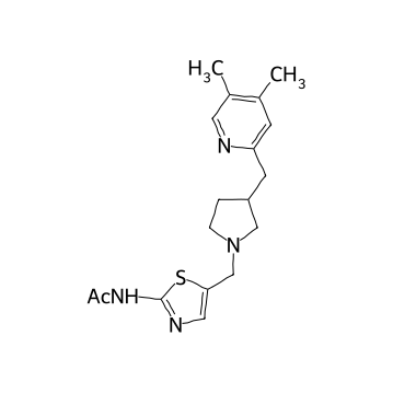 CC(=O)Nc1ncc(CN2CCC(Cc3cc(C)c(C)cn3)C2)s1